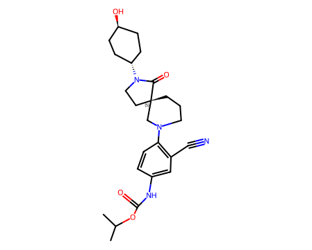 CC(C)OC(=O)Nc1ccc(N2CCC[C@]3(CCN([C@H]4CC[C@H](O)CC4)C3=O)C2)c(C#N)c1